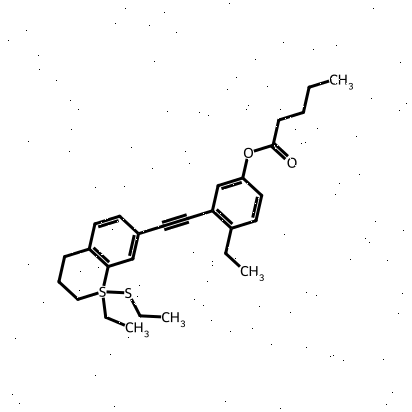 CCCCC(=O)Oc1ccc(CC)c(C#Cc2ccc3c(c2)S(CC)(SCC)CCC3)c1